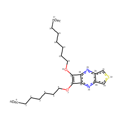 CCCCCCCCCCCCCCCCOC1=C(OCCCCCCCCCCCCCCCC)c2nc3cscc3nc21